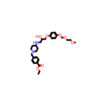 CCOC(=O)c1ccc(CN2CCC(NCC(O)COc3ccc(OCOCCOC)cc3)CC2)cc1